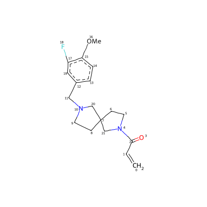 C=CC(=O)N1CCC2(CCN(Cc3ccc(OC)c(F)c3)C2)C1